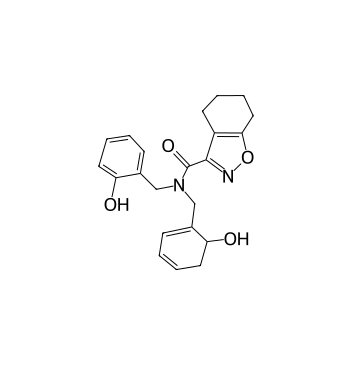 O=C(c1noc2c1CCCC2)N(CC1=CC=CCC1O)Cc1ccccc1O